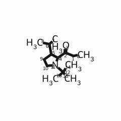 CCC(=O)C1C(C(C)C)CCN1C(C)(C)C